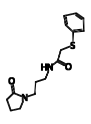 O=C(CSc1ccccc1)NCCCN1CCCC1=O